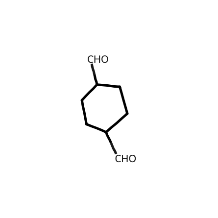 O=CC1CCC(C=O)CC1